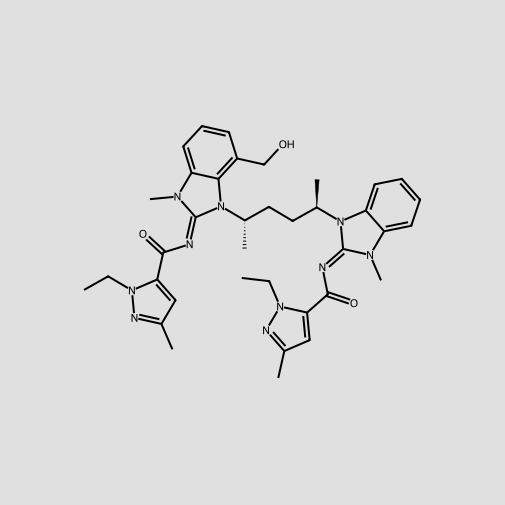 CCn1nc(C)cc1C(=O)/N=c1\n(C)c2ccccc2n1[C@H](C)CC[C@H](C)n1/c(=N/C(=O)c2cc(C)nn2CC)n(C)c2cccc(CO)c21